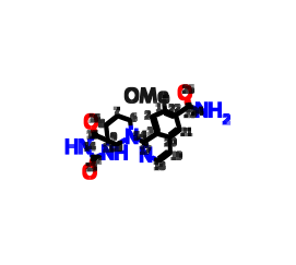 COc1cc2c(N3CCCC4(C3)NC(=O)NC4=O)nccc2cc1C(N)=O